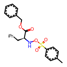 Cc1ccc(S(=O)(=O)ON[C@@H](CC(C)C)C(=O)OCc2ccccc2)cc1